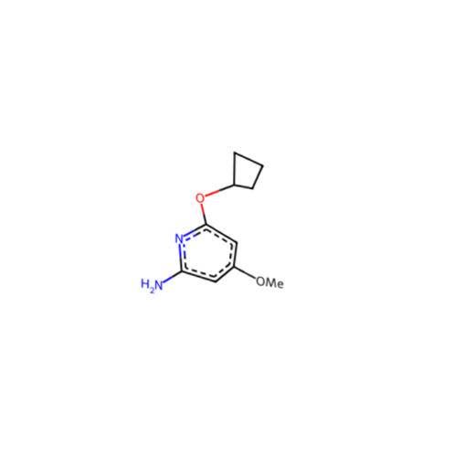 COc1cc(N)nc(OC2CCC2)c1